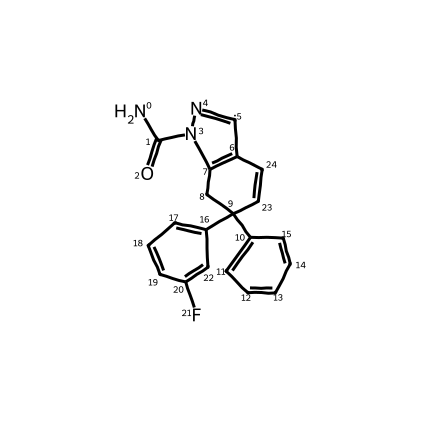 NC(=O)n1n[c]c2c1CC(c1ccccc1)(c1cccc(F)c1)C=C2